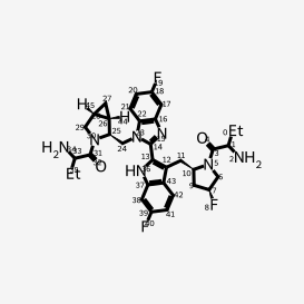 CCC(N)C(=O)N1C[C@@H](F)C[C@H]1Cc1c(-c2nc3cc(F)ccc3n2C[C@@H]2[C@H]3C[C@H]3CN2C(=O)C(N)CC)[nH]c2cc(F)ccc12